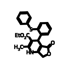 CCOC(=O)C1=C(C)NC2=C(C(=O)OC2)C1c1ccccc1Sc1ccccc1